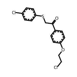 O=C(CSc1ccc(Cl)cc1)c1ccc(OCCCl)cc1